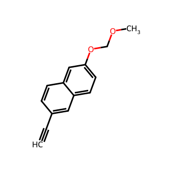 C#Cc1ccc2cc(OCOC)ccc2c1